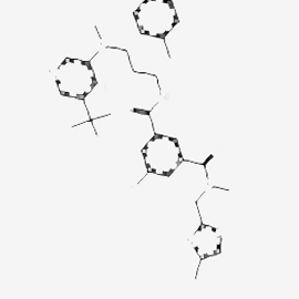 Cc1csc(CN(C)C(=O)c2cc(C(=O)N[C@@H](Cc3ccccc3)[C@H](O)CN(C)c3cncc(C(C)(C)F)c3)cc(C(C)C)c2)n1